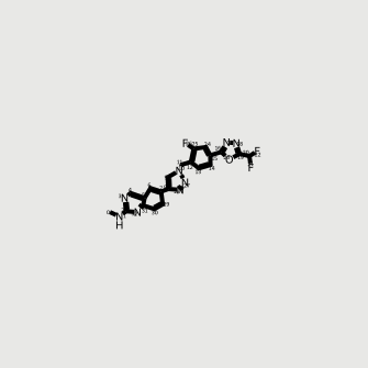 CNc1ncc2cc(-c3cn(Cc4ccc(-c5nnc(C(F)F)o5)cc4F)nn3)ccc2n1